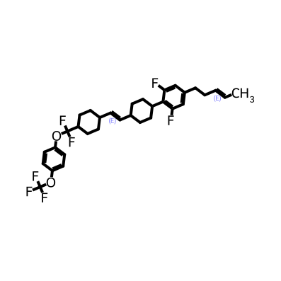 C/C=C/CCc1cc(F)c(C2CCC(/C=C/C3CCC(C(F)(F)Oc4ccc(OC(F)(F)F)cc4)CC3)CC2)c(F)c1